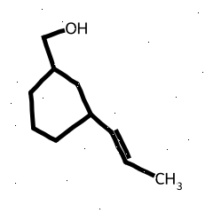 CC=CC1CCCC(CO)C1